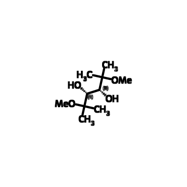 COC(C)(C)[C@H](O)[C@@H](O)C(C)(C)OC